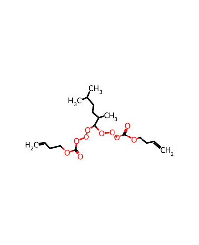 C=CCCOC(=O)OOOC(OOOC(=O)OCCC=C)C(C)CCC(C)C